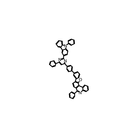 c1ccc(-c2cc(-c3ccc(-c4ccc5oc6c(ccc7c(-c8ccccc8)nc8ccccc8c76)c5c4)cc3)nc(-c3ccc4c(c3)c3ccccc3n4-c3ccccc3)n2)cc1